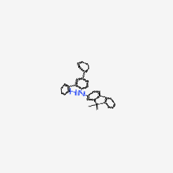 CC1(C)c2ccccc2-c2ccc(Nc3ccc(-c4ccccc4)cc3-c3ccccc3)cc21